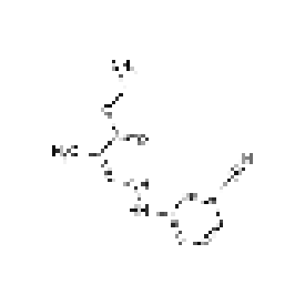 CCOC(=O)C(C)=CNNc1cc(C#N)ccn1